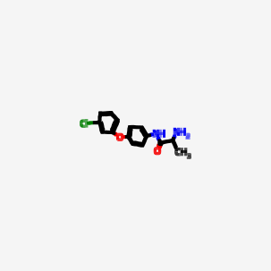 CC(N)C(=O)Nc1ccc(Oc2cccc(Cl)c2)cc1